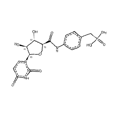 O=C(Nc1ccc(CP(=O)(O)O)cc1)[C@H]1O[C@@H](n2ccc(=O)[nH]c2=O)[C@@H](O)[C@@H]1O